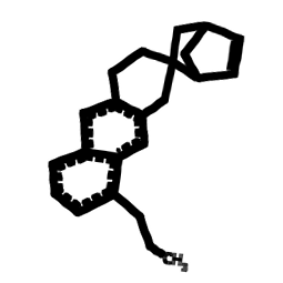 CCCc1cccc2cc3c(cc12)CC1(CC3)CC2C=CC1C2